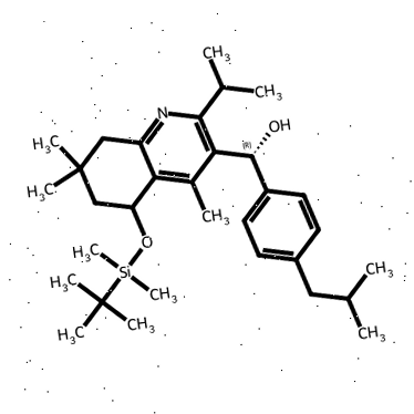 Cc1c2c(nc(C(C)C)c1[C@H](O)c1ccc(CC(C)C)cc1)CC(C)(C)CC2O[Si](C)(C)C(C)(C)C